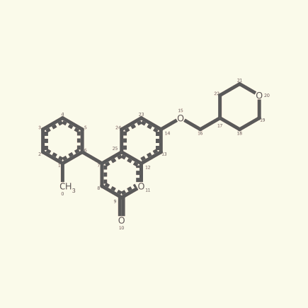 Cc1ccccc1-c1cc(=O)oc2cc(OCC3CCOCC3)ccc12